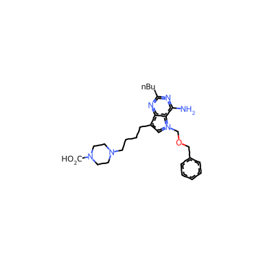 CCCCc1nc(N)c2c(n1)c(CCCCN1CCN(C(=O)O)CC1)cn2COCc1ccccc1